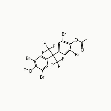 COc1c(Br)cc(C(c2cc(Br)c(OC(C)=O)c(Br)c2)(C(F)(F)F)C(F)(F)F)cc1Br